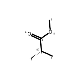 [CH2][C@@H](C)C(=O)OC